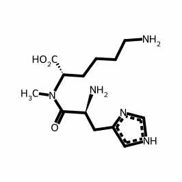 CN(C(=O)[C@@H](N)Cc1c[nH]cn1)[C@@H](CCCCN)C(=O)O